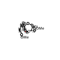 CCn1c(-c2cnccc2COC)c2c3cc(ccc31)-c1cccc(c1)C[C@H](NC(=O)[C@H](C(C)C)N(C)C(=O)CCN=C=NCc1ccc(OC)cc1)C(=O)N1CCC[C@H](N1)C(=O)OCC(C)(C)C2